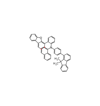 CC1(C)c2ccccc2-c2cccc(-c3ccc(N(c4ccccc4-c4cccc5c4oc4ccccc45)c4cccc5ccccc45)cc3)c21